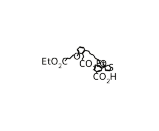 CCOC(=O)CCCOc1cccc(CCCCCCOC2(c3cccc(C(=O)O)c3)C=CSC2)c1CCC(=O)OCC